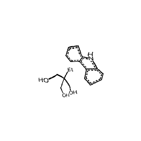 CCC(CO)(CO)CO.c1ccc2c(c1)[nH]c1ccccc12